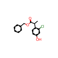 CC(C(=O)OCc1ccccc1)c1ccc(O)cc1Cl